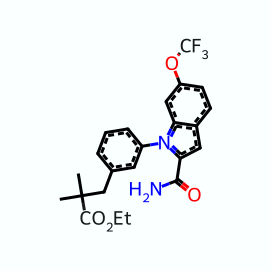 CCOC(=O)C(C)(C)Cc1cccc(-n2c(C(N)=O)cc3ccc(OC(F)(F)F)cc32)c1